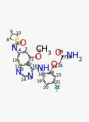 COc1cc(N=S2(=O)CCC2)cc2ncnc(Nc3ccc(F)cc3OCC(N)=O)c12